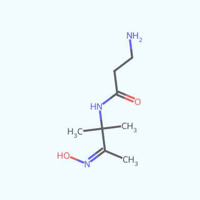 CC(=NO)C(C)(C)NC(=O)CCN